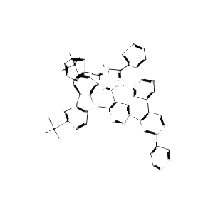 CC(C)(C)c1ccc2c(c1)c1cc(C(C)(C)C)ccc1n2-c1ncc(-c2cc(-c3ccccc3)ccc2-c2ccccc2)cc1-c1nc(-c2ccccc2)nc(-c2ccccc2)n1